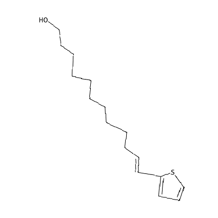 OCCCCCCCCCCC=Cc1cccs1